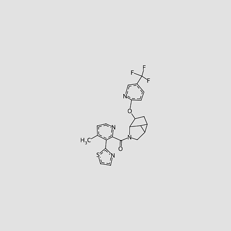 Cc1ccnc(C(=O)N2CC3C4CC(Oc5ccc(C(F)(F)F)cn5)C2C43)c1-c1nccs1